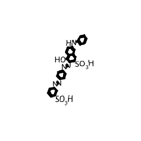 O=S(=O)(O)c1cccc(N=Nc2ccc(N=Nc3c(S(=O)(=O)O)cc4cc(Nc5ccccc5)ccc4c3O)cc2)c1